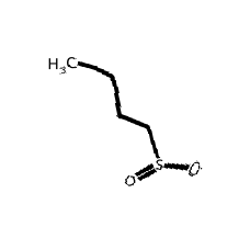 CCCCS([O])=O